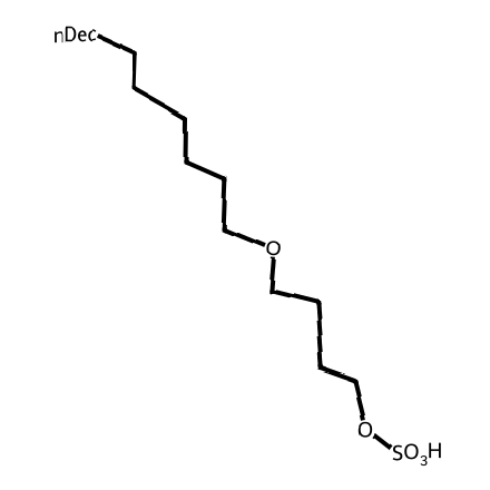 CCCCCCCCCCCCCCCCOCCCCOS(=O)(=O)O